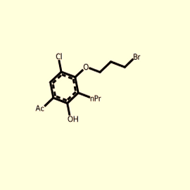 CCCc1c(O)c(C(C)=O)cc(Cl)c1OCCCBr